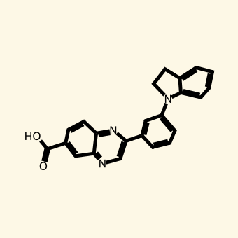 O=C(O)c1ccc2nc(-c3cccc(N4CCc5ccccc54)c3)cnc2c1